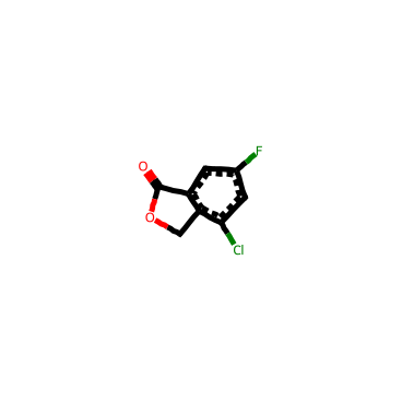 O=C1OCc2c(Cl)cc(F)cc21